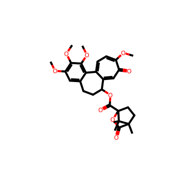 COc1cc2c(c(OC)c1OC)-c1ccc(OC)c(=O)cc1C(OC(=O)C13CCC(C)(C(=O)O1)C3(C)C)CC2